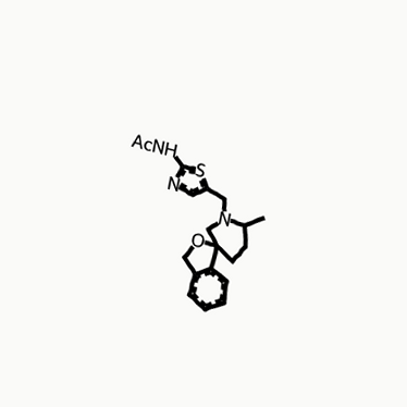 CC(=O)Nc1ncc(CN2CC3(CCC2C)OCc2ccccc23)s1